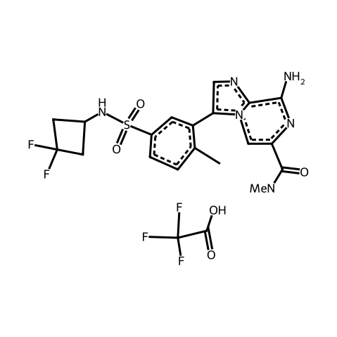 CNC(=O)c1cn2c(-c3cc(S(=O)(=O)NC4CC(F)(F)C4)ccc3C)cnc2c(N)n1.O=C(O)C(F)(F)F